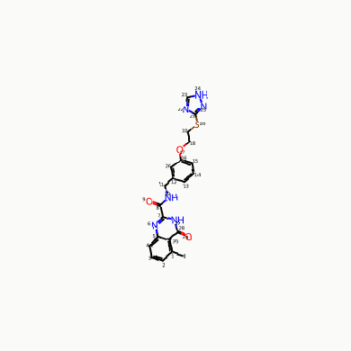 Cc1cccc2nc(C(=O)NCc3cccc(OCCSc4nc[nH]n4)c3)[nH]c(=O)c12